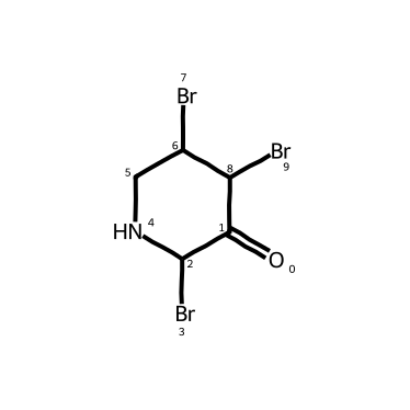 O=C1C(Br)NCC(Br)C1Br